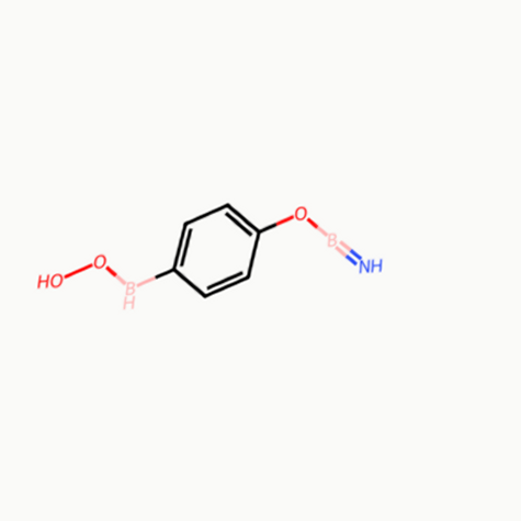 N=BOc1ccc(BOO)cc1